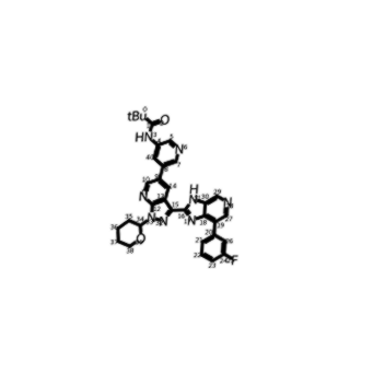 CC(C)(C)C(=O)Nc1cncc(-c2cnc3c(c2)c(-c2nc4c(-c5cccc(F)c5)cncc4[nH]2)nn3C2CCCCO2)c1